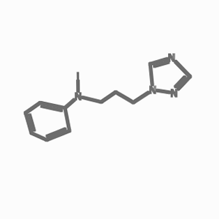 IN(CCCn1cncn1)c1ccccc1